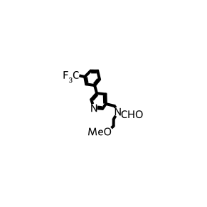 COCCN(C=O)Cc1cncc(-c2cccc(C(F)(F)F)c2)c1